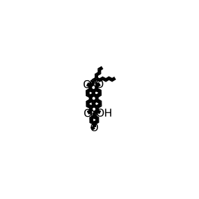 CCCCCCC(CCCC)CN1C(=O)c2ccc3c4ccc5c6c(ccc(c7ccc(c2c37)C1=O)c64)C(O)N(c1ccc(OC)cc1)C5=O